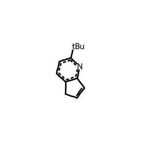 CC(C)(C)c1ccc2c(n1)C=CC2